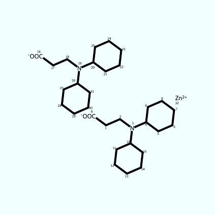 O=C([O-])CCN(C1CCCCC1)C1CCCCC1.O=C([O-])CCN(C1CCCCC1)C1CCCCC1.[Zn+2]